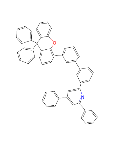 c1ccc(-c2cc(-c3ccccc3)nc(-c3cccc(-c4cccc(-c5cccc6c5Oc5ccccc5C6(c5ccccc5)c5ccccc5)c4)c3)c2)cc1